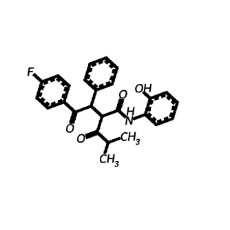 CC(C)C(=O)C(C(=O)Nc1ccccc1O)C(C(=O)c1ccc(F)cc1)c1ccccc1